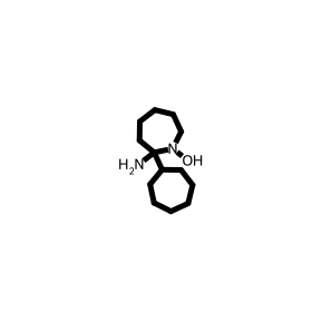 NC1(C2CCCCCC2)CCCCCN1O